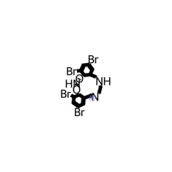 BrC1=CC(Br)C2ONOC3C(Br)=CC(Br)=CC3CNCC/N=C/C2=C1